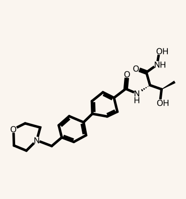 C[C@@H](O)[C@H](NC(=O)c1ccc(-c2ccc(CN3CCOCC3)cc2)cc1)C(=O)NO